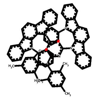 Cc1cc(C)c(B(c2nc(-n3c4ccccc4c4ccc5c6ccccc6n(-c6ccccc6)c5c43)nc(-n3c4ccccc4c4ccc5c6ccccc6n(-c6ccccc6)c5c43)n2)c2c(C)cc(C)cc2C)c(C)c1